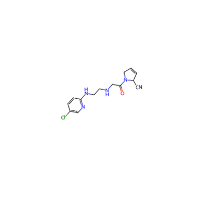 N#CC1C=CCN1C(=O)CNCCNc1ccc(Cl)cn1